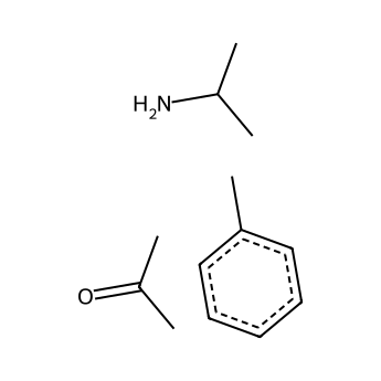 CC(C)=O.CC(C)N.Cc1ccccc1